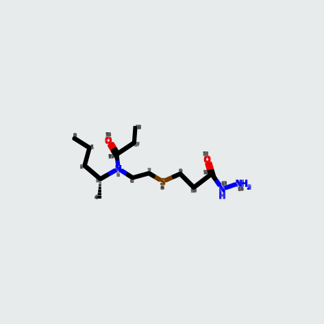 CCC[C@@H](C)N(CCSCCC(=O)NN)C(=O)CC